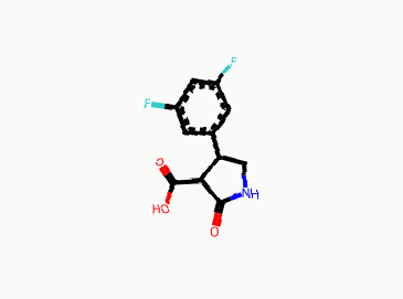 O=C(O)C1C(=O)NCC1c1cc(F)cc(F)c1